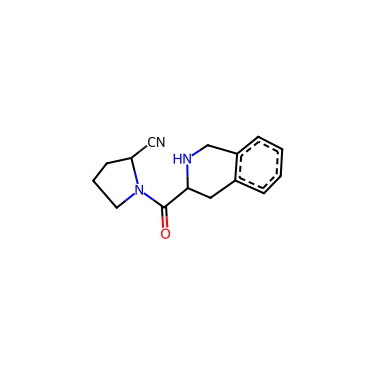 N#CC1CCCN1C(=O)C1Cc2ccccc2CN1